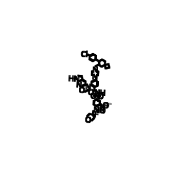 O=C(NS(=O)(=O)c1ccc(NCC2(F)CCOCC2)c([N+](=O)[O-])c1)c1ccc(N2CCN(CC3=C(c4ccc(Cl)cc4)CCC4(CCC4)C3)CC2)cc1N1CCOc2nc3[nH]ccc3cc21